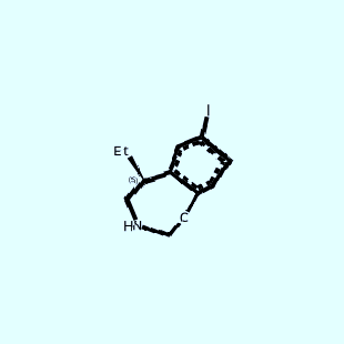 CC[C@@H]1CNCCc2ccc(I)cc21